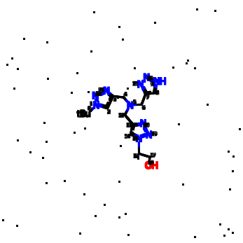 CC(C)(C)n1cc(CN(Cc2c[nH]nn2)Cc2cn(CCO)nn2)nn1